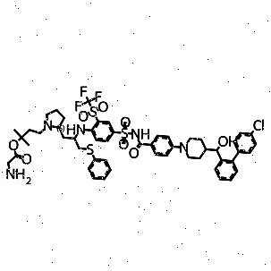 CC(C)(CCN1CCC[C@H]1CC(CSc1ccccc1)Nc1ccc(S(=O)(=O)NC(=O)c2ccc(N3CCC(C(O)c4ccccc4-c4ccc(Cl)cc4)CC3)cc2)cc1S(=O)(=O)C(F)(F)F)OC(=O)CN